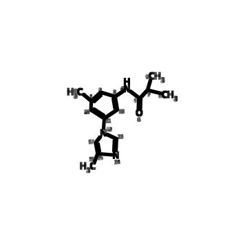 Cc1cc(NC(=O)C(C)C)cc(-n2cnc(C)c2)c1